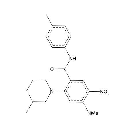 CNc1cc(N2CCCC(C)C2)c(C(=O)Nc2ccc(C)cc2)cc1[N+](=O)[O-]